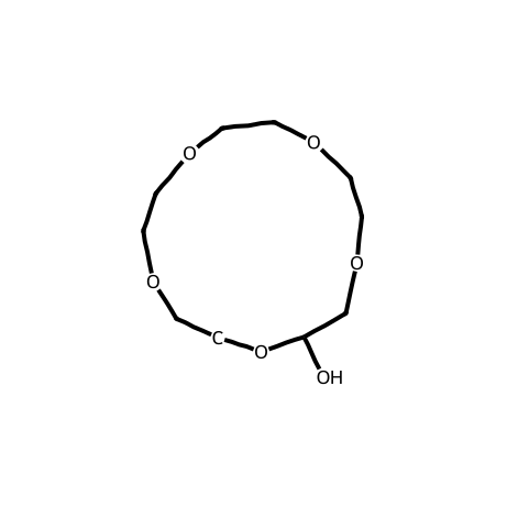 OC1COCCOCCOCCOCCO1